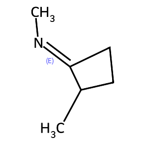 C/N=C1\CCC1C